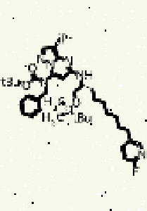 CC(C)c1cnn2c(N(Cc3ccccc3)C(=O)OC(C)(C)C)cc(N[C@H](CCCCCCCc3ccc(F)nc3)CO[Si](C)(C)C(C)(C)C)nc12